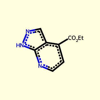 CCOC(=O)c1ccnc2[nH]ncc12